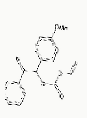 C=COC(=O)OC(C(=O)c1ccccc1)c1ccc(OC)cc1